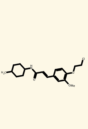 COc1cc(C=CC(=O)NC2CCC(C)CC2)ccc1OCCCl